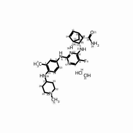 Cc1cc(Nc2ncc(F)c(N[C@@H]3[C@H]4C=CC(C4)[C@@H]3C(N)=O)n2)ccc1NC1CCN(C)CC1.Cl.Cl